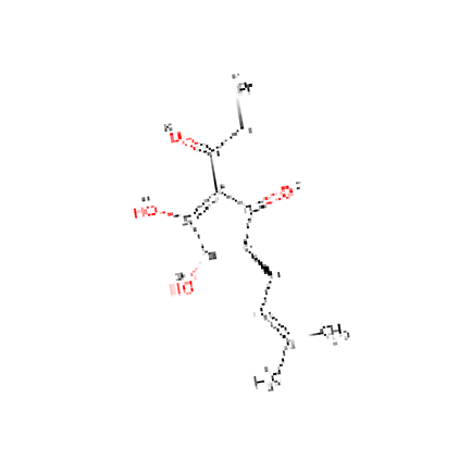 CC(C)=CC[C@@H]1C(=O)C(C(=O)CC(C)C)=C(O)[C@H]1O